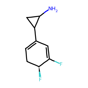 NC1CC1C1=CC[C@H](F)C(F)=C1